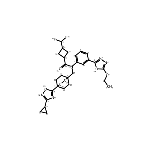 CCOc1nnc(-c2cccc(N(CC34CCC(c5nc(C6CC6)no5)(CC3)CC4)C(=O)C3CC(C(F)F)C3)c2)o1